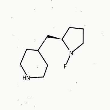 FN1CCC[C@@H]1CC1CCNCC1